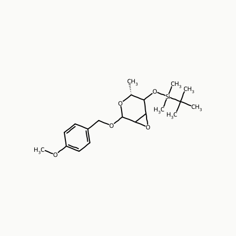 COc1ccc(COC2O[C@H](C)C(O[Si](C)(C)C(C)(C)C)C3OC23)cc1